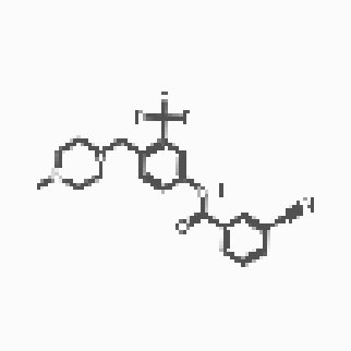 CN1CCN(Cc2ccc(NC(=O)c3cccc(C#N)c3)cc2C(F)(F)F)CC1